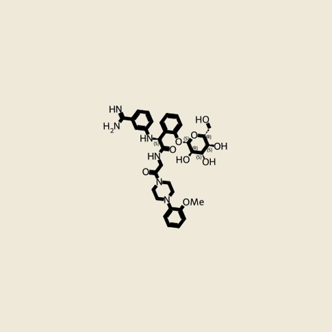 COc1ccccc1N1CCN(C(=O)CNC(=O)[C@@H](Nc2cccc(C(=N)N)c2)c2ccccc2O[C@@H]2O[C@H](CO)[C@@H](O)[C@H](O)[C@H]2O)CC1